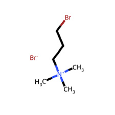 C[N+](C)(C)CCCBr.[Br-]